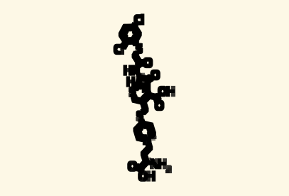 N[C@@H](CC[n+]1ccc(SCC2=C(C(=O)O)N3C(=O)[C@H](NC(=O)CSc4cc(Cl)ccc4Cl)[C@H]3SC2)cc1)C(=O)O